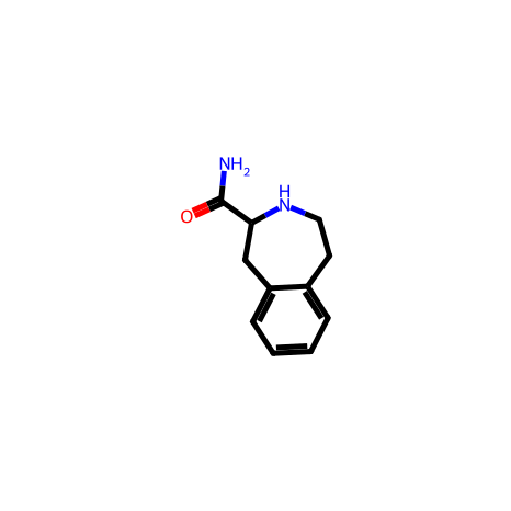 NC(=O)C1Cc2ccccc2CCN1